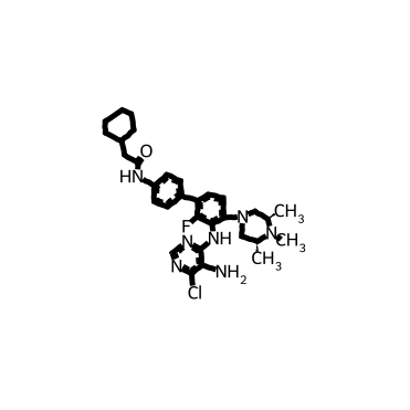 C[C@@H]1CN(c2ccc(-c3ccc(NC(=O)CC4CCCCC4)cc3)c(F)c2Nc2ncnc(Cl)c2N)C[C@H](C)N1C